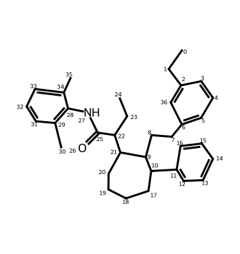 CCc1cccc(CCC2C(c3ccccc3)CCCCC2C(CC)C(=O)Nc2c(C)cccc2C)c1